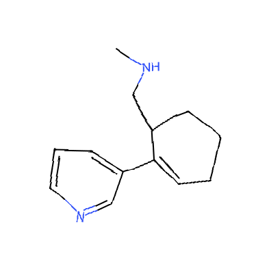 CNCC1CCCC=C1c1cccnc1